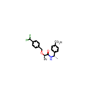 CC(C)[C@@H](OCc1ccc(C(F)F)cc1)C(=O)N[C@@H](C)c1ccc(C(=O)O)cc1